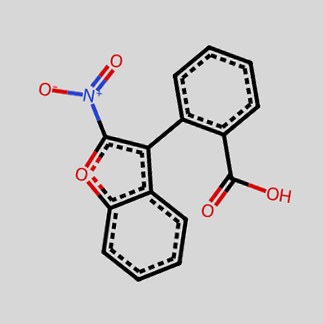 O=C(O)c1ccccc1-c1c([N+](=O)[O-])oc2ccccc12